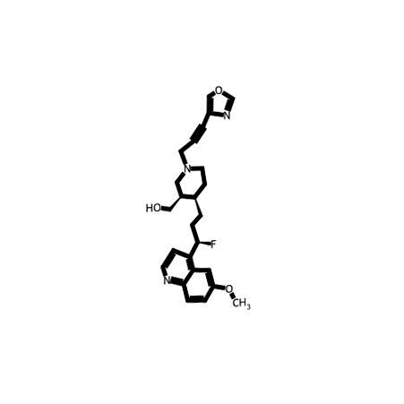 COc1ccc2nccc([C@H](F)CC[C@@H]3CCN(CC#Cc4cocn4)C[C@@H]3CO)c2c1